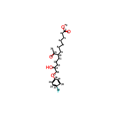 COC(=O)CCCCCCC(CCCC(O)COc1ccc(F)cc1)C(C)=O